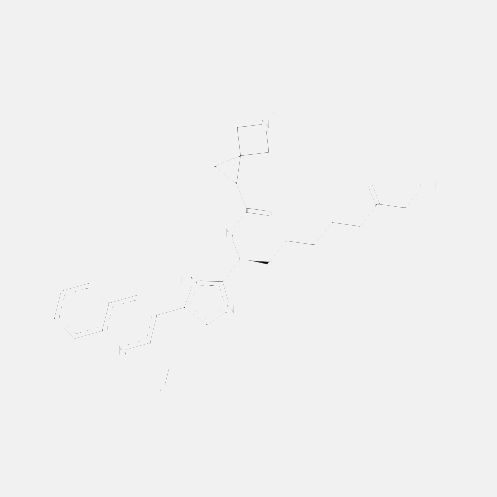 CCC(=O)CCCCC[C@H](NC(=O)C1CC12CN(C)C2)c1ncc(-c2cc3ccccc3nc2OC)[nH]1